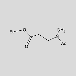 CCOC(=O)CCN(N)C(C)=O